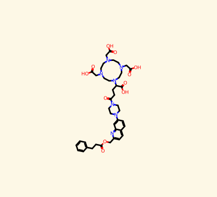 O=C(O)CN1CCN(CC(=O)O)CCN(C(CCC(=O)N2CCN(c3ccc4ccc(COC(=O)CCc5ccccc5)nc4c3)CC2)C(=O)O)CCN(CC(=O)O)CC1